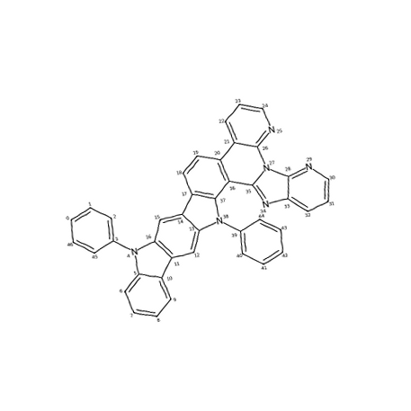 c1ccc(-n2c3ccccc3c3cc4c(cc32)c2ccc3c5cccnc5n5c6ncccc6nc5c3c2n4-c2ccccc2)cc1